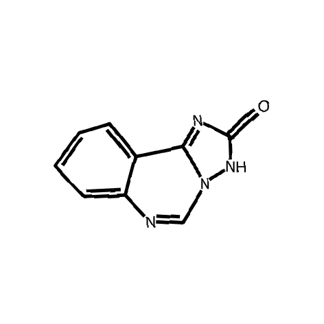 O=c1nc2c3ccccc3ncn2[nH]1